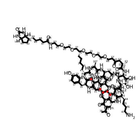 CCCCC[C@@H](NC(=O)[C@H](Cc1ccc(O)cc1)NC(=O)CNC(=O)[C@H](CCC(N)=O)NC(=O)[C@@H](CCC(C)=O)NC(=O)[C@H](CCCCN)NC(=O)[C@@H](CO)NC(=O)C(NC(=O)[C@@H](C)CC(=O)CCOCCOCCOCCOCCOCCNC(=O)CCCC[C@@H]1CC[C@H]2NC(=O)N[C@@H]12)[C@H](C)O)C(=O)N[C@@H](C)C(=O)N[C@@H](CC(N)=O)C(=O)NC(C(=O)N[C@H](CCC(=O)O)C(=O)N[C@@H](C)C(N)=O)[C@@H](C)O